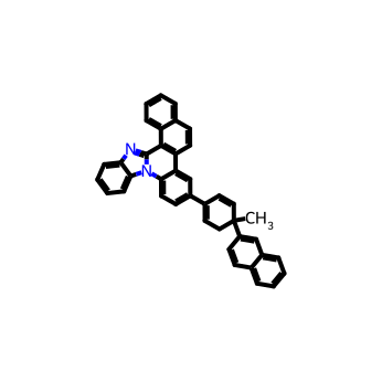 CC1(c2ccc3ccccc3c2)C=CC(c2ccc3c(c2)c2ccc4ccccc4c2c2nc4ccccc4n32)=CC1